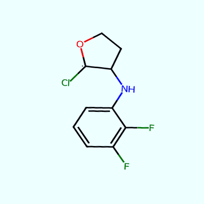 Fc1cccc(NC2CCO[C]2Cl)c1F